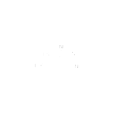 CCCN.N.N#CS